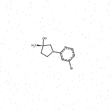 C[C@]1(O)CCN(c2cc(Br)ccn2)C1